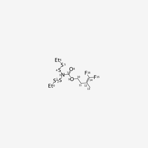 CCSSN(SSCC)C(=O)OCCC(C)=C(F)F